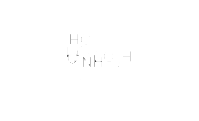 C[C@@](CO)(NC(=O)C1CCCC1)C(=O)O